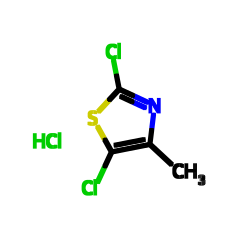 Cc1nc(Cl)sc1Cl.Cl